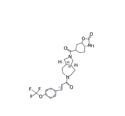 O=C1NC2CCC(C(=O)N3C[C@H]4CCN(C(=O)/C=C/c5ccc(OC(F)(F)F)cc5)CC[C@H]4C3)CC2O1